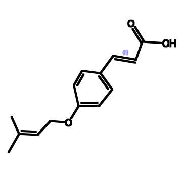 CC(C)=CCOc1ccc(/C=C/C(=O)O)cc1